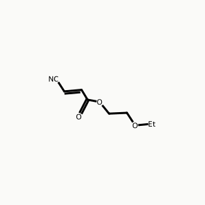 CCOCCOC(=O)C=CC#N